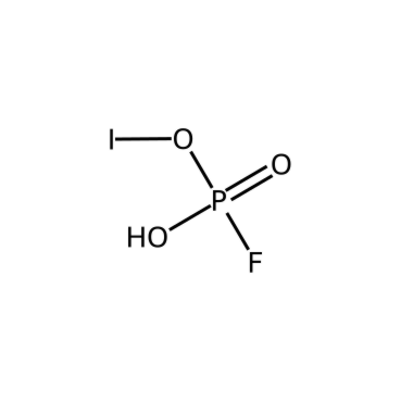 O=P(O)(F)OI